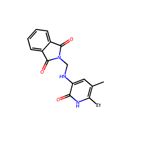 CCc1[nH]c(=O)c(NCN2C(=O)c3ccccc3C2=O)cc1C